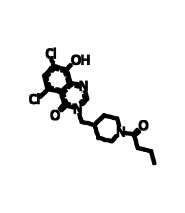 CCCC(=O)N1CCC(Cn2cnc3c(O)c(Cl)cc(Cl)c3c2=O)CC1